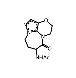 CC(=O)NC1CCn2ncc3c2N(CCO3)C1=O